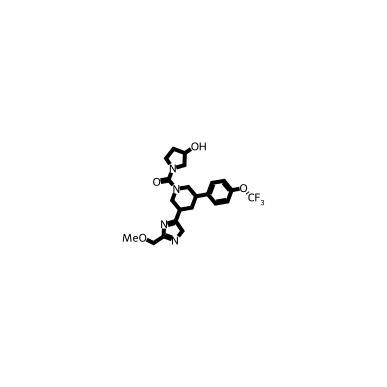 COCC1=NCC(C2CC(c3ccc(OC(F)(F)F)cc3)CN(C(=O)N3CCC(O)C3)C2)=N1